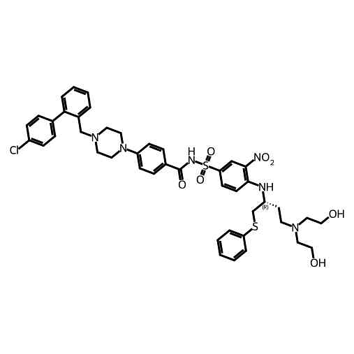 O=C(NS(=O)(=O)c1ccc(N[C@H](CCN(CCO)CCO)CSc2ccccc2)c([N+](=O)[O-])c1)c1ccc(N2CCN(Cc3ccccc3-c3ccc(Cl)cc3)CC2)cc1